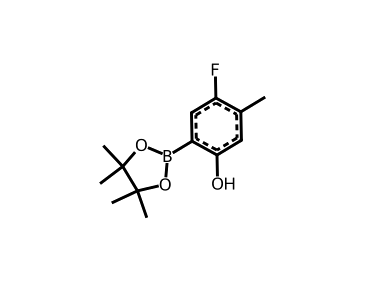 Cc1cc(O)c(B2OC(C)(C)C(C)(C)O2)cc1F